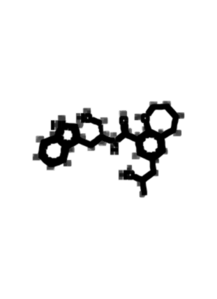 CC(O)Cc1cc2c(c(C(=O)N[C@@H](CO)Cc3c[nH]c4ccccc34)c1)OCCCC2